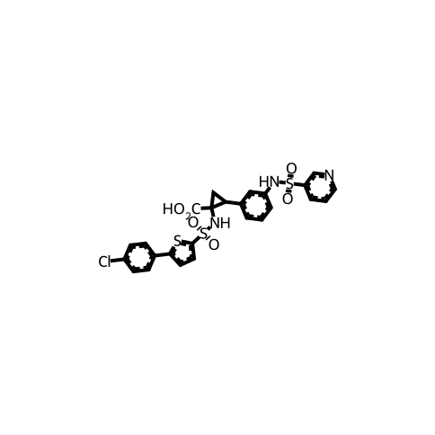 O=C(O)C1(NS(=O)(=O)c2ccc(-c3ccc(Cl)cc3)s2)CC1c1cccc(NS(=O)(=O)c2cccnc2)c1